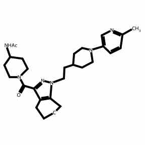 CC(=O)NC1CCN(C(=O)c2nn(CCC3CCN(c4ccc(C)nc4)CC3)c3c2CCCC3)CC1